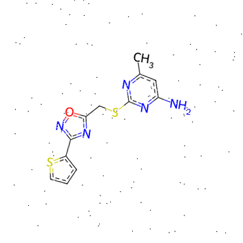 Cc1cc(N)nc(SCc2nc(-c3cccs3)no2)n1